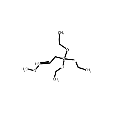 CCO[Si](CC=[SiH]O[SiH3])(OCC)OCC